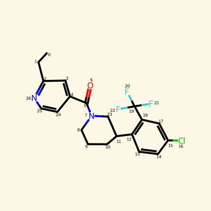 CCc1cc(C(=O)N2CCCC(c3ccc(Cl)cc3C(F)(F)F)C2)ccn1